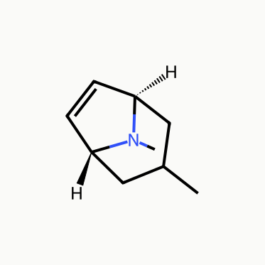 CC1C[C@@H]2C=C[C@@H](C1)N2C